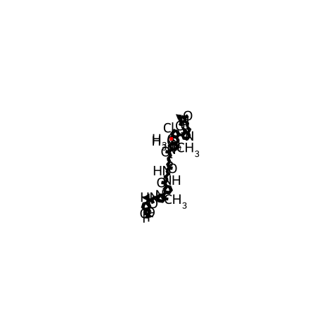 Cc1ccc(NC(=O)C2(c3ccc4c(c3)OC(F)(F)O4)CC2)nc1-c1cccc(C(=O)NCCNC(=O)CSCCC(=O)N2C[C@H](C)N(Cc3c(C)cc(Cl)cc3-c3ccnc4cc(CN5C(=O)C6CC6C5=O)sc34)[C@@H](C)C2)c1